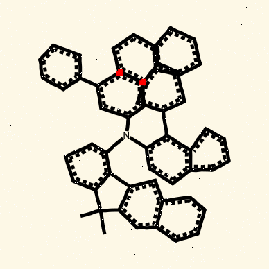 CC1(C)c2cc3ccccc3cc2-c2c(N(c3cc(-c4ccccc4)cc(-c4ccccc4)c3)c3ccc4ccccc4c3-c3ccc4ccccc4c3)cccc21